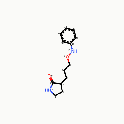 O=C1NCCC1CCCONc1ccccc1